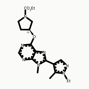 CCOC(=O)N1CC[C@H](Oc2ncnc3c2nc(-c2cnn(CC)c2C)n3C)C1